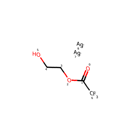 O=C(OCCO)C(F)(F)F.[Ag].[Ag]